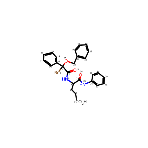 O=C(O)CCC(NC(=O)C(Br)(OCc1ccccc1)c1ccccc1)C(=O)Nc1ccccc1